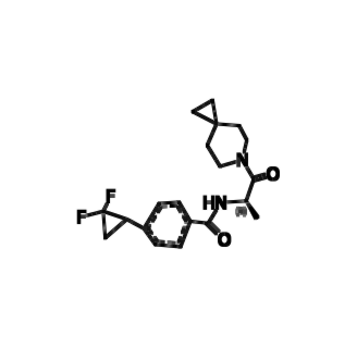 C[C@@H](NC(=O)c1ccc(C2CC2(F)F)cc1)C(=O)N1CCC2(CC1)CC2